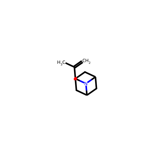 C=C(C)CN1C2CCCC1C2